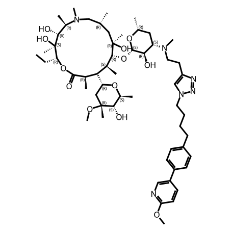 CC[C@H]1OC(=O)[C@H](C)C([C@H]2C[C@@](C)(OC)[C@@H](O)[C@H](C)O2)[C@H](C)[C@@H](O[C@@H]2O[C@H](C)C[C@H](N(C)CCc3cn(CCCCc4ccc(-c5ccc(OC)nc5)cc4)nn3)[C@H]2O)[C@](C)(O)C[C@@H](C)CN(C)[C@H](C)[C@@H](O)[C@]1(C)O